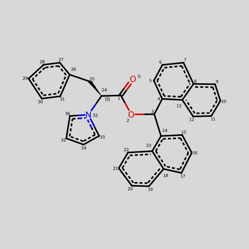 O=C(OC(c1cccc2ccccc12)c1cccc2ccccc12)[C@H](Cc1ccccc1)n1cccc1